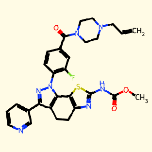 C=CCN1CCN(C(=O)c2ccc(-n3nc(-c4cccnc4)c4c3-c3sc(NC(=O)OC)nc3CC4)c(F)c2)CC1